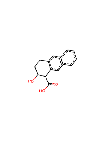 O=C(O)C1c2cc3ccccc3cc2CCC1O